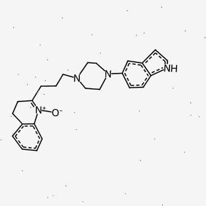 [O-][N+]1=C(CCCN2CCN(c3ccc4[nH]ccc4c3)CC2)CCc2ccccc21